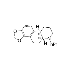 CCCN1CCC[C@@H]2c3ccc4c(c3CC[C@H]21)OCO4